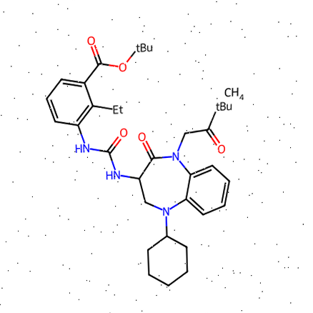 C.CCc1c(NC(=O)NC2CN(C3CCCCC3)c3ccccc3N(CC(=O)C(C)(C)C)C2=O)cccc1C(=O)OC(C)(C)C